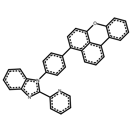 c1ccc(-c2nc3ccccc3n2-c2ccc(-c3ccc4c5c(cccc35)-c3ccccc3O4)cc2)nc1